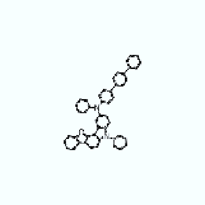 c1ccc(-c2ccc(-c3ccc(N(c4ccccc4)c4ccc5c(c4)c4c6oc7ccccc7c6ccc4n5-c4ccccc4)cc3)cc2)cc1